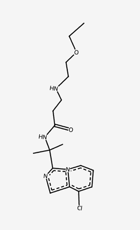 CCOCCNCCC(=O)NC(C)(C)c1ncc2c(Cl)cccn12